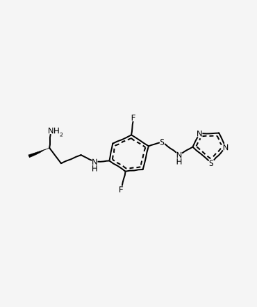 C[C@@H](N)CCNc1cc(F)c(SNc2ncns2)cc1F